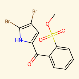 COS(=O)(=O)c1ccccc1C(=O)c1cc(Br)c(Br)[nH]1